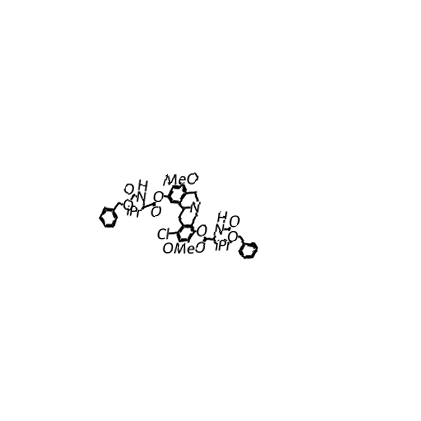 COc1cc2c(cc1OC(=O)C(NC(=O)OCc1ccccc1)C(C)C)C1Cc3c(Cl)cc(OC)c(OC(=O)C(NC(=O)OCc4ccccc4)C(C)C)c3CN1CC2